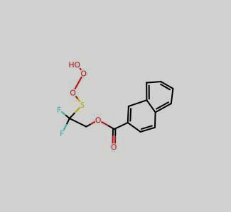 O=C(OCC(F)(F)SOOO)c1ccc2ccccc2c1